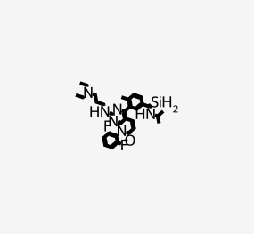 CCN(CC)CCCNc1nc(-c2cc(C(=[SiH2])NC(C)C)ccc2C)c2ccc(=O)n(-c3c(F)cccc3F)c2n1